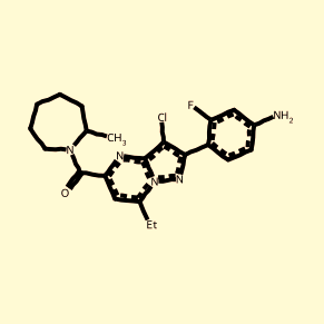 CCc1cc(C(=O)N2CCCCCC2C)nc2c(Cl)c(-c3ccc(N)cc3F)nn12